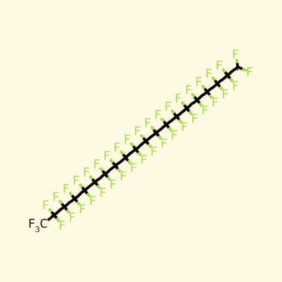 F[C](F)C(F)(F)C(F)(F)C(F)(F)C(F)(F)C(F)(F)C(F)(F)C(F)(F)C(F)(F)C(F)(F)C(F)(F)C(F)(F)C(F)(F)C(F)(F)C(F)(F)C(F)(F)C(F)(F)C(F)(F)C(F)(F)C(F)(F)F